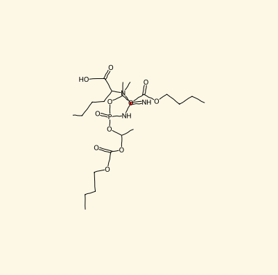 CCCCOC(=O)OC(C)OP(=O)(NC(=N)N(C)C(CCCC)C(=O)O)OC(C)OC(=O)OCCCC